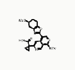 CNc1ncc(-c2nc3c(o2)CCC(OC)C3)c2cc(C3(C(N)=O)CC3)ncc12